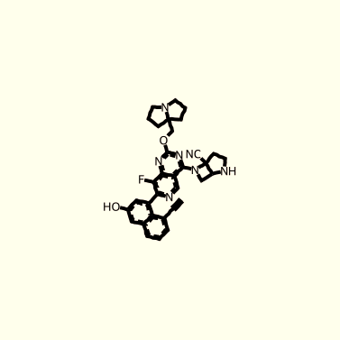 C#Cc1cccc2cc(O)cc(-c3ncc4c(N5CC6NCCC65C#N)nc(OCC56CCCN5CCC6)nc4c3F)c12